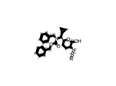 [N-]=[N+]=NC1CC[C@@H](C(C2CC2)N(Cc2ccccc2)C(=O)OCc2ccccc2)OC1O